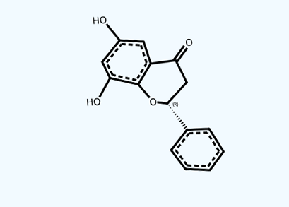 O=C1C[C@H](c2ccccc2)Oc2c(O)cc(O)cc21